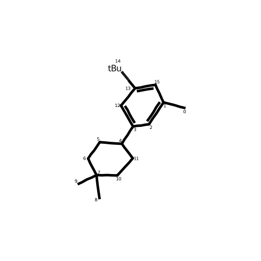 Cc1cc(C2CCC(C)(C)CC2)cc(C(C)(C)C)c1